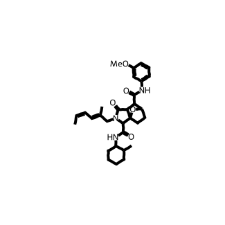 C/C=C\C=C(/C)CN1C(=O)C2C(C(=O)Nc3cccc(OC)c3)C3CCC2(O3)C1C(=O)NC1CCCCC1C